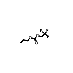 CCCOC(=O)OCC(F)(F)F